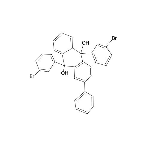 OC1(c2cccc(Br)c2)c2ccccc2C(O)(c2cccc(Br)c2)c2cc(-c3ccccc3)ccc21